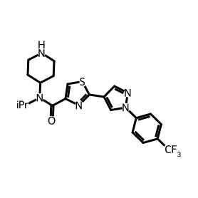 CC(C)N(C(=O)c1csc(-c2cnn(-c3ccc(C(F)(F)F)cc3)c2)n1)C1CCNCC1